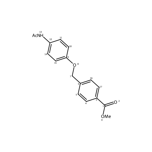 COC(=O)c1ccc(COc2ccc(NC(C)=O)cc2)cc1